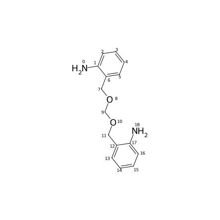 Nc1ccccc1COCOCc1ccccc1N